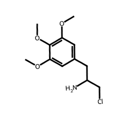 COc1cc(CC(N)CCl)cc(OC)c1OC